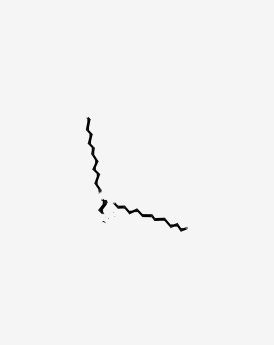 CCCCCCCCCCCCSC(=C[N+](=O)[O-])SCCCCCCCCCCCC